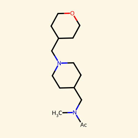 CC(=O)N(C)CC1CCN(CC2CCOCC2)CC1